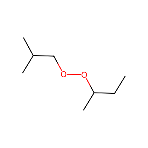 CCC(C)OOCC(C)C